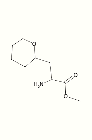 COC(=O)C(N)CC1CCCCO1